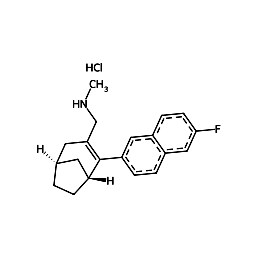 CNCC1=C(c2ccc3cc(F)ccc3c2)[C@@H]2CC[C@@H](C1)C2.Cl